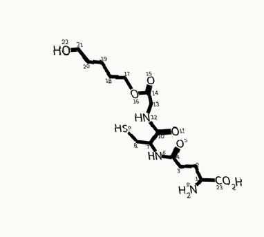 NC(CCC(=O)NC(CS)C(=O)NCC(=O)OCCCCCO)C(=O)O